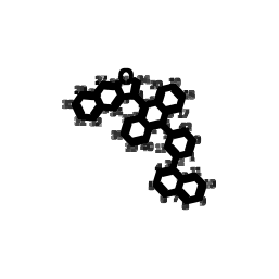 c1cc(-c2cccc3ccccc23)cc(-c2c3ccccc3c(-c3coc4cc5ccccc5cc34)c3ccccc23)c1